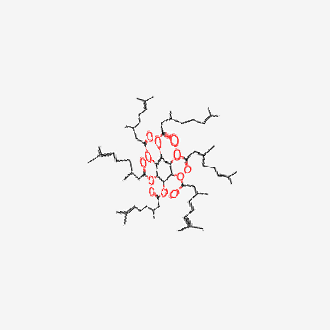 CC(C)=CCCC(C)CC(=O)OC1C(OC(=O)CC(C)CCC=C(C)C)C(OC(=O)CC(C)CCC=C(C)C)C(OC(=O)CC(C)CCC=C(C)C)C(OC(=O)CC(C)CCC=C(C)C)C1OC(=O)CC(C)CCC=C(C)C